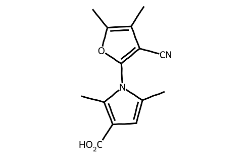 Cc1oc(-n2c(C)cc(C(=O)O)c2C)c(C#N)c1C